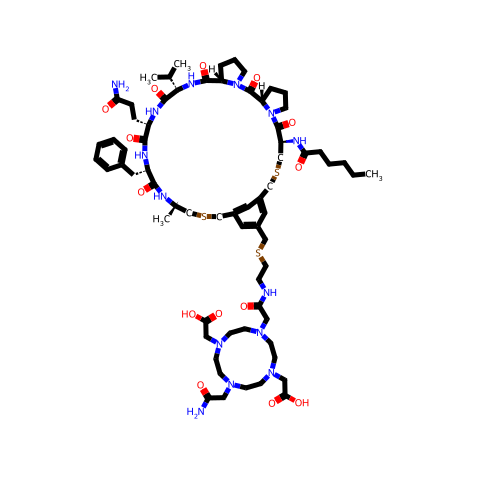 CCCCCC(=O)N[C@H]1CSCc2cc(CSCCNC(=O)CN3CCN(CC(=O)O)CCN(CC(N)=O)CCN(CC(=O)O)CC3)cc(c2)CSC[C@@H](C)NC(=O)[C@H](Cc2ccccc2)NC(=O)[C@H](CCC(N)=O)NC(=O)[C@H](C(C)C)NC(=O)[C@@H]2CCCN2C(=O)[C@@H]2CCCN2C1=O